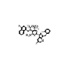 COC(=O)N(Cc1ccc(F)c2ccccc12)c1c(N)nc(-n2nc(Cc3ccccc3F)c3ncc(F)cc32)nc1N